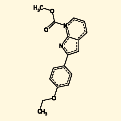 CCOc1ccc(-c2cc3cccn(C(=O)OC)c-3n2)cc1